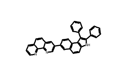 c1ccc(-c2[nH]c3ccc4cc(-c5cnc6c(ccc7cccnc76)c5)ccc4c3c2-c2ccccc2)cc1